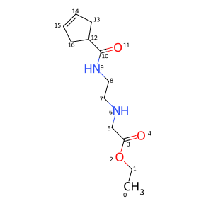 CCOC(=O)CNCCNC(=O)C1CC=CC1